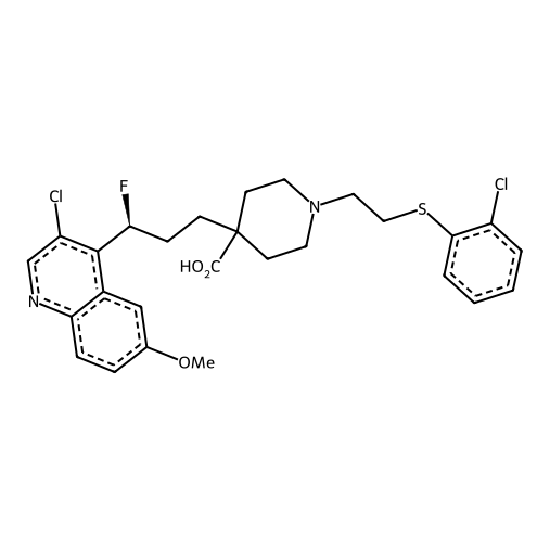 COc1ccc2ncc(Cl)c([C@@H](F)CCC3(C(=O)O)CCN(CCSc4ccccc4Cl)CC3)c2c1